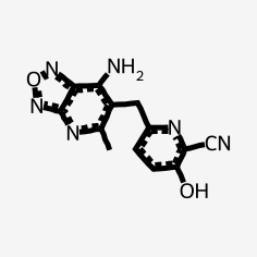 Cc1nc2nonc2c(N)c1Cc1ccc(O)c(C#N)n1